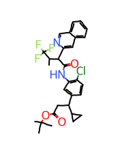 CC(C(C(=O)Nc1cc(C(CC(=O)OC(C)(C)C)C2CC2)ccc1Cl)c1cc2ccccc2cn1)C(F)(F)F